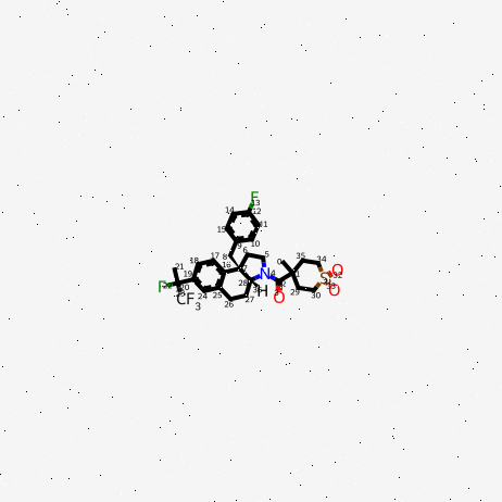 CC1(C(=O)N2CC[C@@]3(Cc4ccc(F)cc4)c4ccc(C(C)(F)C(F)(F)F)cc4CC[C@@H]23)CCS(=O)(=O)CC1